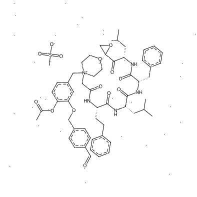 CC(=O)Oc1ccc(C[N+]2(CC(=O)N[C@@H](CCc3ccccc3)C(=O)N[C@@H](CC(C)C)C(=O)N[C@@H](Cc3ccccc3)C(=O)N[C@@H](CC(C)C)C(=O)[C@@]3(C)CO3)CCOCC2)cc1OCc1ccc(C=O)cc1.CS(=O)(=O)[O-]